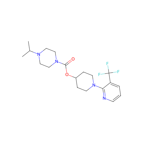 CC(C)N1CCN(C(=O)OC2CCN(c3ncccc3C(F)(F)F)CC2)CC1